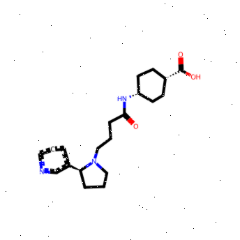 O=C(CCCN1CCC[C@H]1c1cccnc1)N[C@H]1CC[C@@H](C(=O)O)CC1